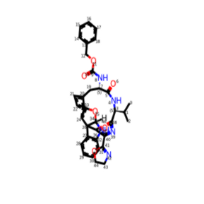 CC(C)[C@@H]1NC(=O)[C@@H](NC(=O)OCc2ccccc2)Cc2ccc3c(c2)C2(c4ccccc4N[C@H]2O3)c2oc1nc2C1=NCCO1